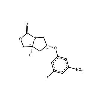 O=C1OC[C@@H]2C[C@@H](Oc3cc(F)cc([N+](=O)[O-])c3)CN12